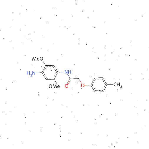 COc1cc(NC(=O)COc2ccc(C)cc2)c(OC)cc1N